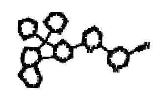 N#Cc1cncc(-c2cccc(-c3ccc4c(c3)C(c3ccccc3)(c3ccccc3)c3ccc5ccccc5c3-4)n2)c1